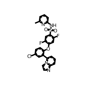 Cc1cccc(NS(=O)(=O)c2cc(F)c(Oc3ccc(Cl)cc3-c3cccc4nccn34)cc2F)n1